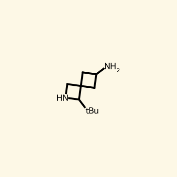 CC(C)(C)C1NCC12CC(N)C2